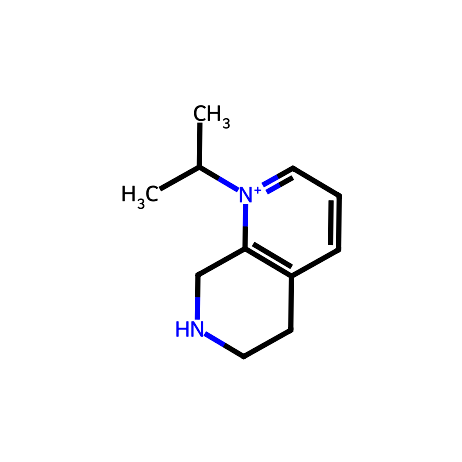 CC(C)[n+]1cccc2c1CNCC2